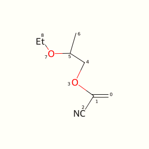 C=C(C#N)OCC(C)OCC